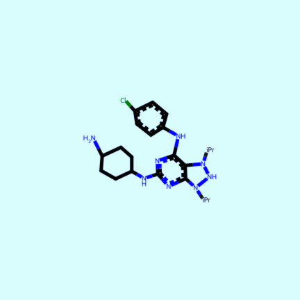 CC(C)N1NN(C(C)C)c2c(Nc3ccc(Cl)cc3)nc(NC3CCC(N)CC3)nc21